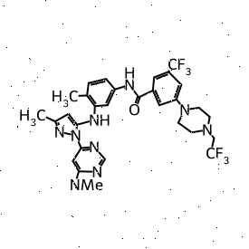 CNc1cc(-n2nc(C)cc2Nc2cc(NC(=O)c3cc(N4CCN(CC(F)(F)F)CC4)cc(C(F)(F)F)c3)ccc2C)ncn1